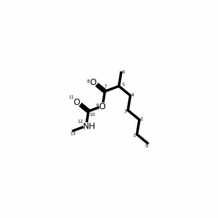 CCCCCC(C)C(=O)OC(=O)NC